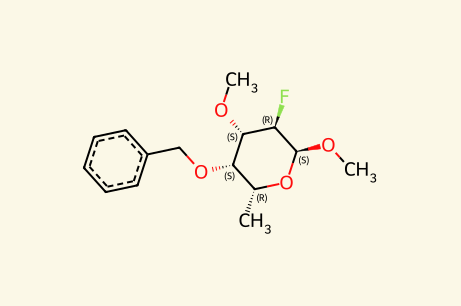 CO[C@H]1O[C@H](C)[C@H](OCc2ccccc2)[C@H](OC)[C@H]1F